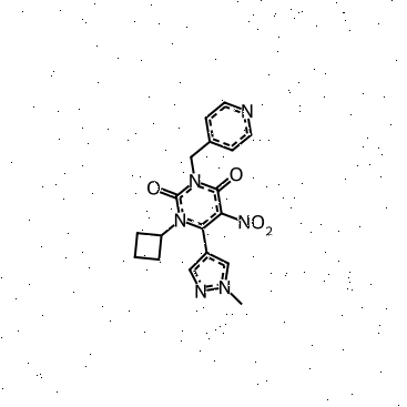 Cn1cc(-c2c([N+](=O)[O-])c(=O)n(Cc3ccncc3)c(=O)n2C2CCC2)cn1